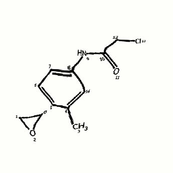 C1CO1.Cc1cccc(NC(=O)CCl)c1